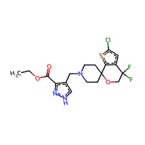 CCOC(=O)c1n[nH]cc1CN1CCC2(CC1)OCC(F)(F)c1cc(Cl)sc12